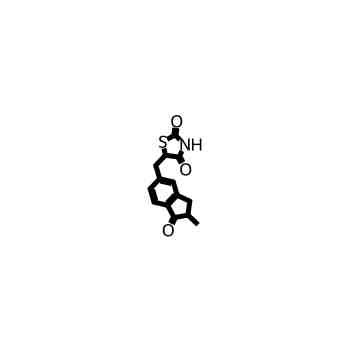 CC1Cc2cc(CC3SC(=O)NC3=O)ccc2C1=O